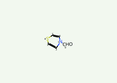 O=CN1C=CSC=C1